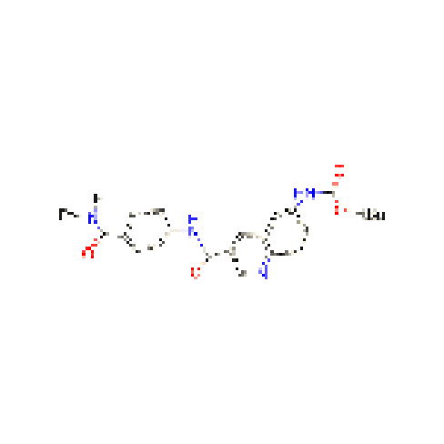 CCN(CC)C(=O)c1ccc(NC(=O)c2cnc3ccc(NC(=O)OC(C)(C)C)cc3c2)cc1